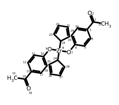 CC(=O)c1ccc([O][Zr]([O]c2ccc(C(C)=O)cc2)([CH]2C=CC=C2)[CH]2C=CC=C2)cc1